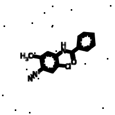 Cc1cc(NC(=O)c2ccccc2)c(Cl)cc1[N+]#N